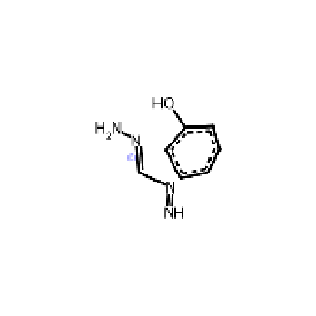 N=N/C=N/N.Oc1ccccc1